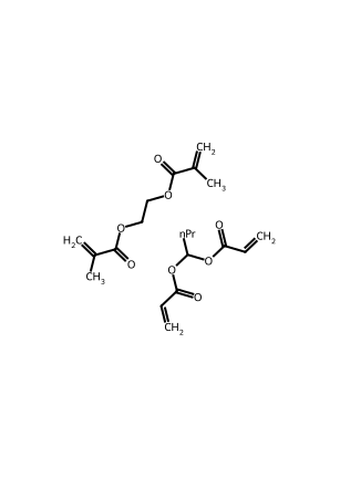 C=C(C)C(=O)OCCOC(=O)C(=C)C.C=CC(=O)OC(CCC)OC(=O)C=C